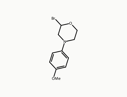 COc1ccc(N2CCOC(Br)C2)cc1